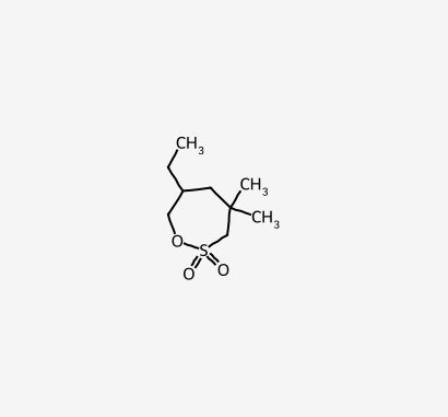 CCC1COS(=O)(=O)CC(C)(C)C1